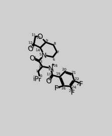 CC(C)CC(C(=O)N1CCCC2OCC(=O)C21)N(C)C(=O)c1ccc(F)c(F)c1F